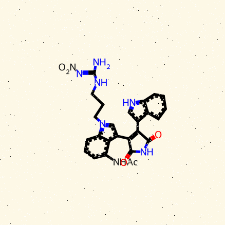 CC(=O)Nc1cccc2c1c(C1=C(c3c[nH]c4ccccc34)C(=O)NC1=O)cn2CCCNC(N)=N[N+](=O)[O-]